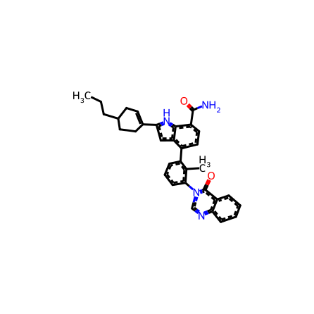 CCCC1CC=C(c2cc3c(-c4cccc(-n5cnc6ccccc6c5=O)c4C)ccc(C(N)=O)c3[nH]2)CC1